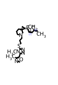 C=C(/C=C\C(=C/C)C(F)(F)F)[C@H]1C[C@@]12CCCN(CCCSc1nnc(-c3ocnc3C)n1C)C2